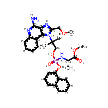 CCCCOC(=O)[C@H](C)NP(=O)(OCC(C)(C(C)C)n1c(COCC)nc2c(N)nc3ccccc3c21)Oc1cccc2ccccc12